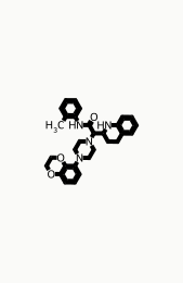 Cc1ccccc1NC(=O)C(C1CCc2ccccc2N1)N1CCN(c2cccc3c2OCCO3)CC1